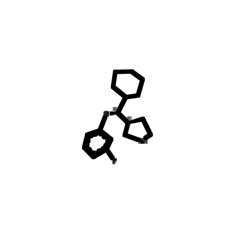 Fc1cccc(O[C@H](C2CCCCC2)[C@H]2CCNC2)c1